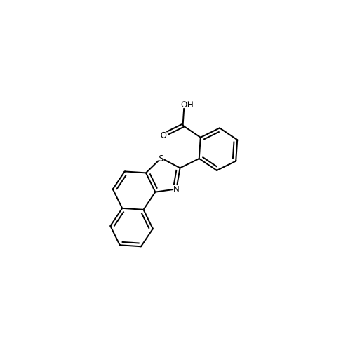 O=C(O)c1ccccc1-c1nc2c(ccc3ccccc32)s1